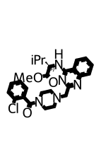 COC(=O)[C@@H](Nc1nc(CN2CCN(C(=O)c3ccccc3Cl)CC2)nc2ccccc12)C(C)C